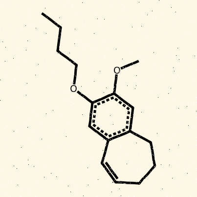 CCCCOc1cc2c(cc1OC)CCC[C]=C2